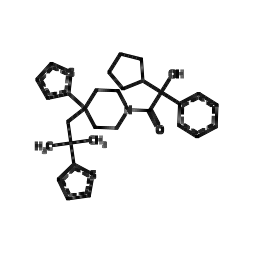 CC(C)(CC1(c2cccs2)CCN(C(=O)C(O)(c2ccccc2)C2CCCC2)CC1)c1cccs1